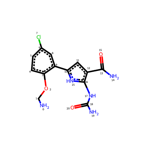 NCOc1ccc(Cl)cc1-c1cc(C(N)=O)c(NC(N)=O)[nH]1